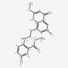 CCSc1cc(=O)c2cc(F)cc(CCNc3ccc(Cl)nc3C(=O)OC(C)(C)C)c2o1